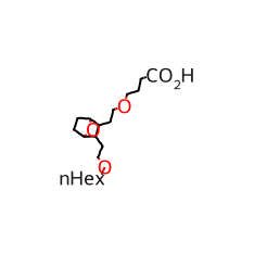 CCCCCCOCCC1C2CCC(O2)C1CCOCCCC(=O)O